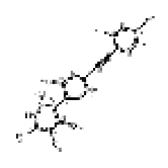 Cc1[nH]c(C)c(-c2c[nH]c(C#Cc3ccc(F)cc3F)cc2=O)c(=O)c1Cl